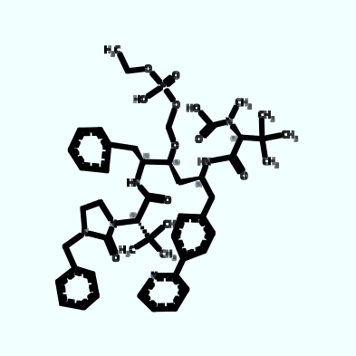 CCOP(=O)(O)OCO[C@@H](C[C@H](Cc1ccc(-c2ccccn2)cc1)NC(=O)[C@@H](N(C)C(=O)O)C(C)(C)C)[C@H](Cc1ccccc1)NC(=O)[C@@H](N1CCN(Cc2ccccc2)C1=O)C(C)(C)C